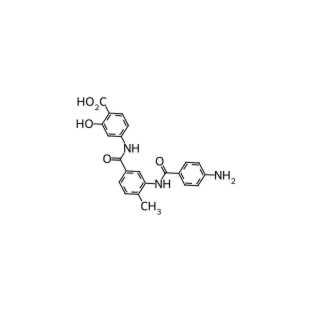 Cc1ccc(C(=O)Nc2ccc(C(=O)O)c(O)c2)cc1NC(=O)c1ccc(N)cc1